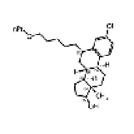 CCCOCCCCC[C@@H]1C[C@@H]2[C@H](CC[C@]3(C)[C@@H](O)CC[C@@H]23)c2ccc(O)cc21